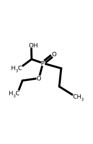 CCCP(=O)(OCC)C(C)O